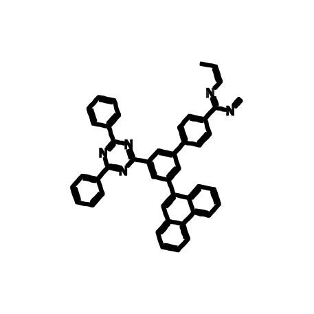 C=N/C(=N\C=C/C)c1ccc(-c2cc(-c3nc(-c4ccccc4)nc(-c4ccccc4)n3)cc(-c3cc4ccccc4c4ccccc34)c2)cc1